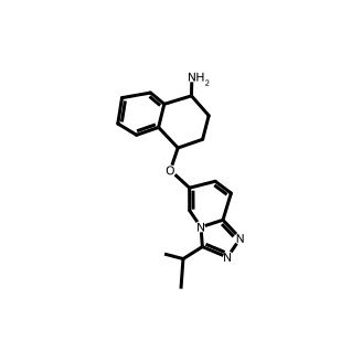 CC(C)c1nnc2ccc(OC3CCC(N)c4ccccc43)cn12